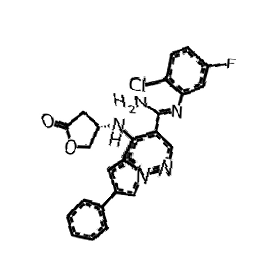 N/C(=N\c1cc(F)ccc1Cl)c1cnn2cc(-c3ccccc3)cc2c1N[C@@H]1COC(=O)C1